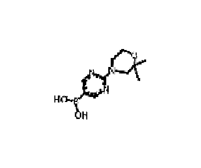 CC1(C)CN(c2ncc(B(O)O)cn2)CCO1